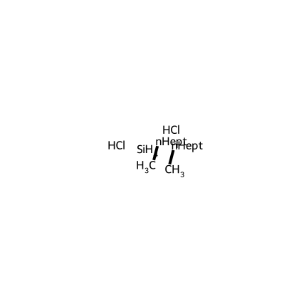 CCCCCCCC.CCCCCCCC.Cl.Cl.[SiH4]